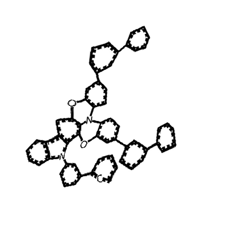 c1ccc(-c2cccc(-c3ccc4c(c3)Oc3cc5c6ccccc6n(-c6cccc(-c7ccccc7)c6)c5c5c3N4c3ccc(-c4cccc(-c6ccccc6)c4)cc3O5)c2)cc1